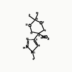 Cn1cc(C2([N+](=O)[O-])COC(C)(C)OC2)cn1